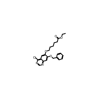 CCOC(=O)CCCCCOc1cc2c(Cl)ncnc2cc1OCc1ccccc1